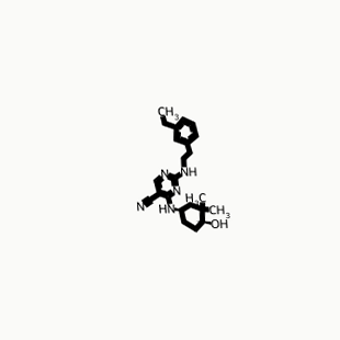 CCc1cccc(CCNc2ncc(C#N)c(N[C@@H]3CC[C@H](O)C(C)(C)C3)n2)c1